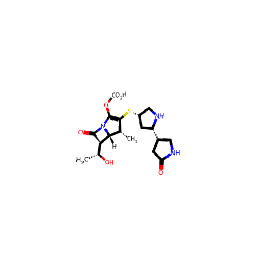 C[C@@H](O)[C@H]1C(=O)N2C(OC(=O)O)=C(S[C@@H]3CN[C@H](C4CNC(=O)C4)C3)[C@H](C)[C@H]12